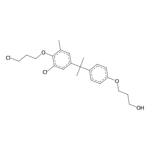 Cc1cc(C(C)(C)c2ccc(OCCCO)cc2)cc(Cl)c1OCCCCl